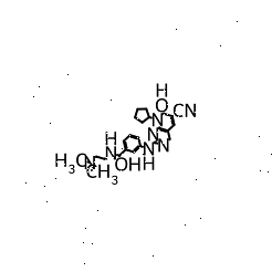 CN(C)CCNC(O)c1cccc(Nc2ncc3c(n2)N(C2CCCC2)C(O)C(C#N)=C3)c1